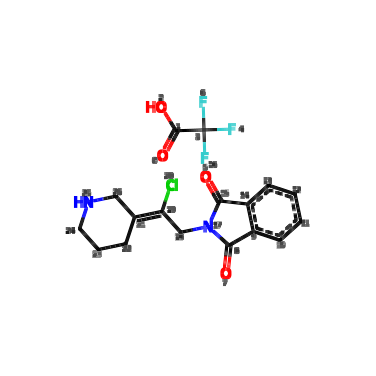 O=C(O)C(F)(F)F.O=C1c2ccccc2C(=O)N1C/C(Cl)=C1\CCCNC1